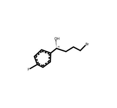 O[C@H](CCCBr)c1ccc(F)cc1